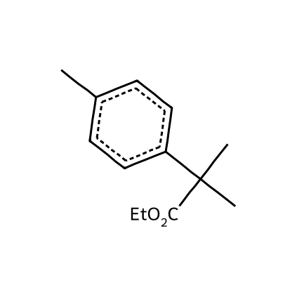 CCOC(=O)C(C)(C)c1ccc(C)cc1